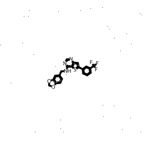 FC(F)(F)c1cccc(-c2cc3ncnc(NCc4ccc5c(c4)OCO5)c3s2)c1